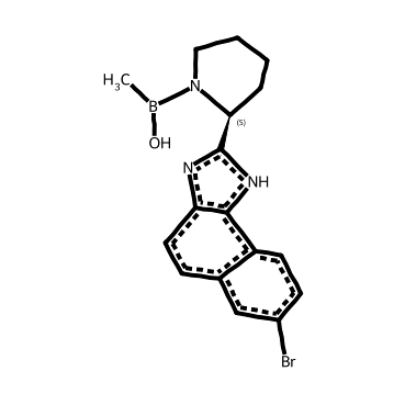 CB(O)N1CCCC[C@H]1c1nc2ccc3cc(Br)ccc3c2[nH]1